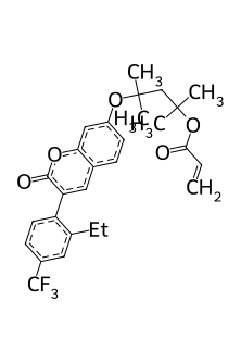 C=CC(=O)OC(C)(C)CC(C)(C)Oc1ccc2cc(-c3ccc(C(F)(F)F)cc3CC)c(=O)oc2c1